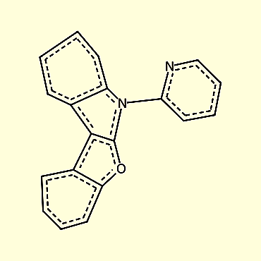 c1ccc(-n2c3ccccc3c3c4ccccc4oc32)nc1